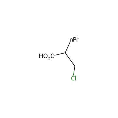 CCCC(CCl)C(=O)O